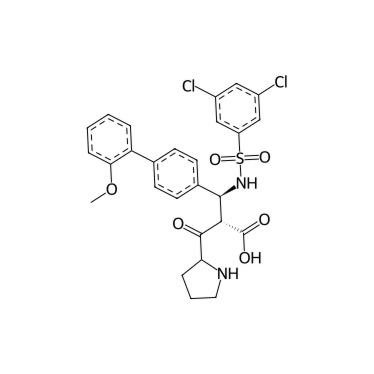 COc1ccccc1-c1ccc([C@@H](NS(=O)(=O)c2cc(Cl)cc(Cl)c2)[C@H](C(=O)O)C(=O)C2CCCN2)cc1